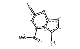 COC(=O)c1cc(=O)nc2scc(C)n12